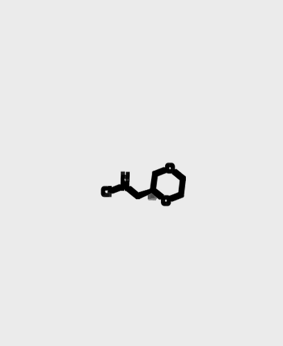 ClNC[C@H]1COCCO1